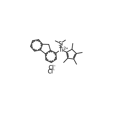 CC1=C(C)C(C)[C]([Ti+2]([c]2cccc3c2Cc2ccccc2-3)=[Si](C)C)=C1C.[Cl-].[Cl-]